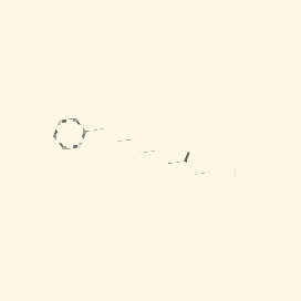 CCOC(=O)CC(=O)CCCCOCc1ccccc1